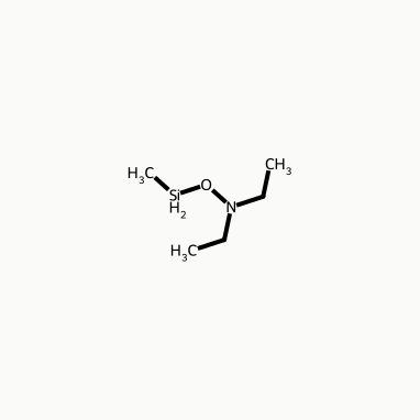 CCN(CC)O[SiH2]C